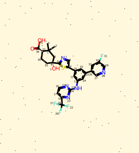 CC1(C)C[C@@](O)(c2ncc(-c3cc(Nc4nccc(C(F)(F)F)n4)cc(-c4cncc(F)c4)c3)s2)CC[C@H]1C(=O)O